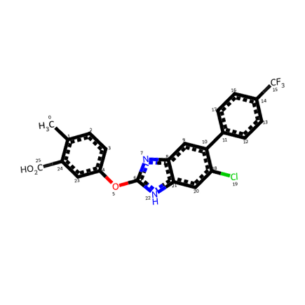 Cc1ccc(Oc2nc3cc(-c4ccc(C(F)(F)F)cc4)c(Cl)cc3[nH]2)cc1C(=O)O